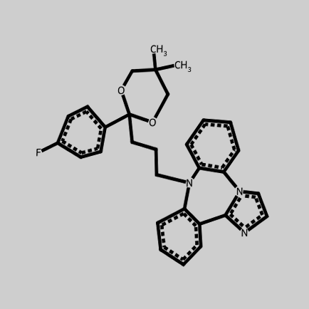 CC1(C)COC(CCCN2c3ccccc3-c3nccn3-c3ccccc32)(c2ccc(F)cc2)OC1